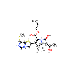 C=CCOC(=O)C1=C(c2cn3cnc(SC)c3s2)[C@H](C)[C@@H]2[C@@H]([C@@H](C)O)C(=O)N12